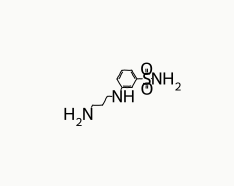 NCCCNc1cccc(S(N)(=O)=O)c1